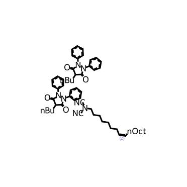 CCCCC1C(=O)N(c2ccccc2)N(c2ccccc2)C1=O.CCCCC1C(=O)N(c2ccccc2)N(c2ccccc2)C1=O.CCCCCCCC/C=C\CCCCCCCN(C#N)C#N